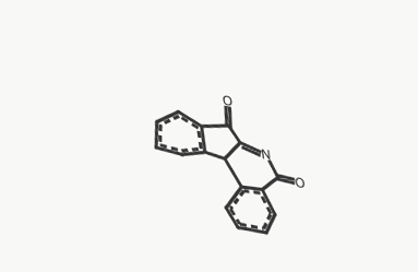 O=C1N=C2C(=O)c3ccccc3C2c2ccccc21